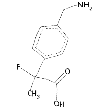 CC(F)(C(=O)O)c1ccc(CN)cc1